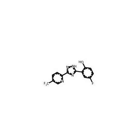 Oc1ccc(F)cc1-c1nc(-c2ccc(C(F)(F)F)cn2)n[nH]1